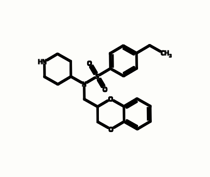 CCc1ccc(S(=O)(=O)N(CC2COc3ccccc3O2)C2CCNCC2)cc1